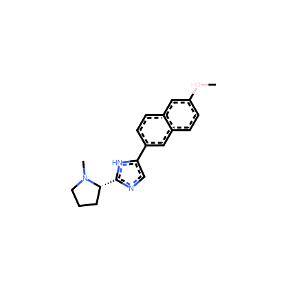 CBc1ccc2cc(-c3cnc([C@@H]4CCCN4C)[nH]3)ccc2c1